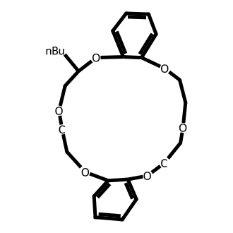 CCCCC1COCCOc2ccccc2OCCOCCOc2ccccc2O1